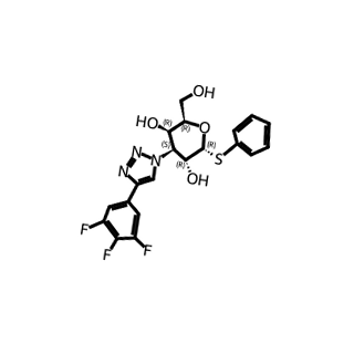 OC[C@H]1O[C@H](Sc2ccccc2)[C@H](O)[C@@H](n2cc(-c3cc(F)c(F)c(F)c3)nn2)[C@H]1O